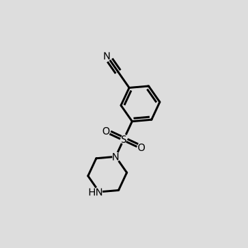 N#Cc1cccc(S(=O)(=O)N2CCNCC2)c1